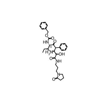 CC[C@H](C)[C@H](NC(=O)OCc1ccccc1)C(=O)C(c1ccccc1)[C@H](N)[C@@H](O)C(=O)NCCCN1CCCC1=O